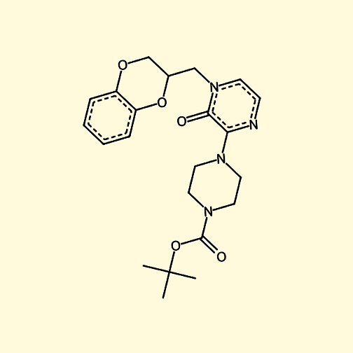 CC(C)(C)OC(=O)N1CCN(c2nccn(CC3COc4ccccc4O3)c2=O)CC1